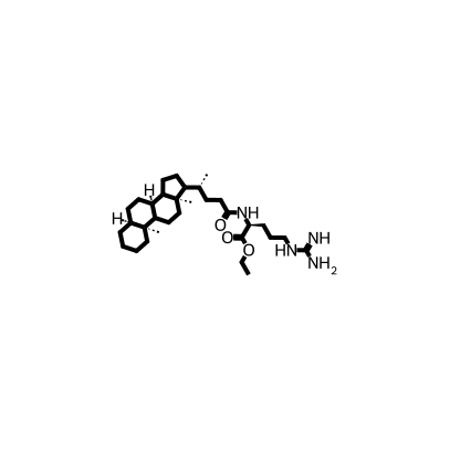 CCOC(=O)[C@H](CCCNC(=N)N)NC(=O)CC[C@@H](C)C1CCC2[C@@H]3CC[C@@H]4CCCC[C@]4(C)C3CC[C@@]21C